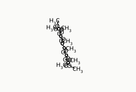 CCCCOc1cc(OC)c(C(=O)Oc2ccc(C(=O)Oc3ccc(-c4ccc(OC(=O)c5ccc(OC(=O)c6cc(OC)c(OCCCC)cc6OC)cc5)c(C)c4)cc3C)cc2)cc1OC